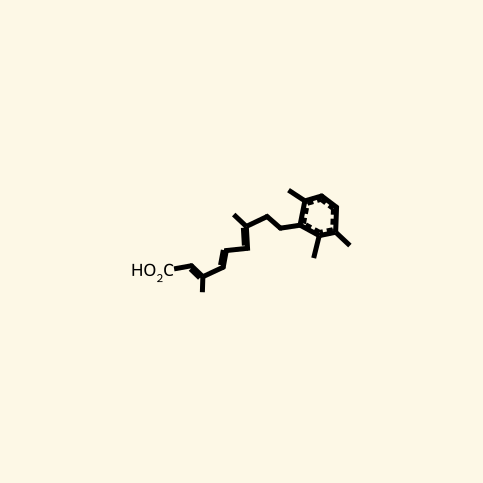 CC(C=CC=C(C)CCc1c(C)ccc(C)c1C)=CC(=O)O